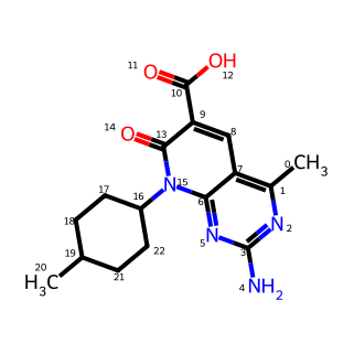 Cc1nc(N)nc2c1cc(C(=O)O)c(=O)n2C1CCC(C)CC1